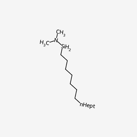 CCCCCCCCCCCCCC[SiH2]N(C)C